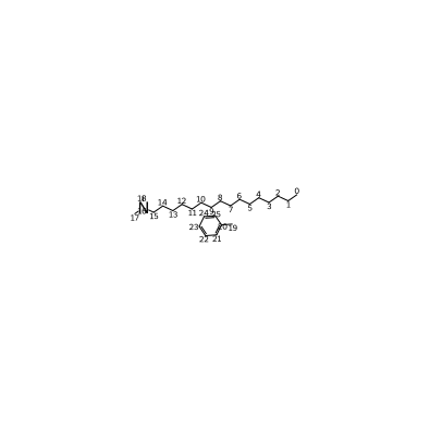 CCCCCCCCCCCCCCCCN(C)C.Cc1ccccc1